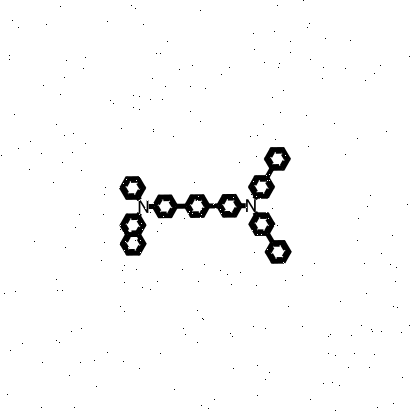 c1ccc(-c2ccc(N(c3ccc(-c4ccccc4)cc3)c3ccc(-c4ccc(-c5ccc(N(c6ccccc6)c6ccc7ccccc7c6)cc5)cc4)cc3)cc2)cc1